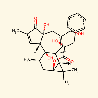 CC1=C[C@H]2[C@@]3(O)[C@H](C)C[C@]4(OC(=O)[C@@H](O)Cc5ccccc5)[C@H]([C@@H]3C=C(CO)C[C@]2(O)C1=O)C4(C)C